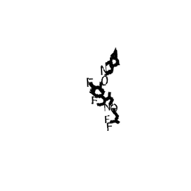 Cc1cc(OCCC(C)C(F)F)nc(C)c1-c1cc(COc2cc3c(cn2)C2CC2C3)c(F)cc1F